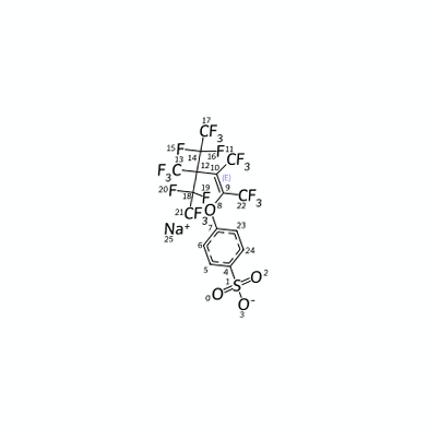 O=S(=O)([O-])c1ccc(O/C(=C(/C(F)(F)F)C(C(F)(F)F)(C(F)(F)C(F)(F)F)C(F)(F)C(F)(F)F)C(F)(F)F)cc1.[Na+]